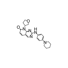 O=c1ccc2cnc(Nc3ccc(N4CCCCC4)cc3)nc2n1C1CCOC1